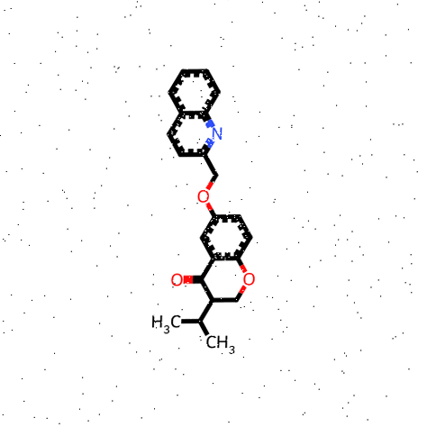 CC(C)C1COc2ccc(OCc3ccc4ccccc4n3)cc2C1=O